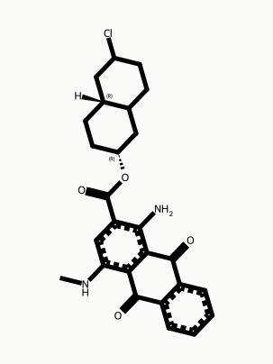 CNc1cc(C(=O)O[C@@H]2CC[C@@H]3CC(Cl)CCC3C2)c(N)c2c1C(=O)c1ccccc1C2=O